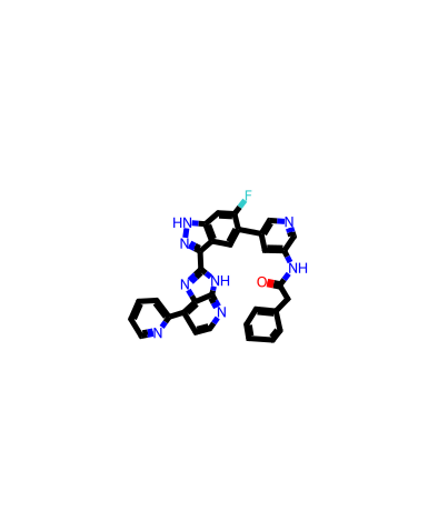 O=C(Cc1ccccc1)Nc1cncc(-c2cc3c(-c4nc5c(-c6ccccn6)ccnc5[nH]4)n[nH]c3cc2F)c1